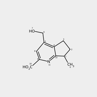 CC1CCc2c(CO)cc(C(=O)O)nc21